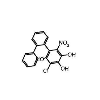 O=[N+]([O-])c1c(O)c(O)c(Cl)c(O)c1-c1ccccc1-c1ccccc1